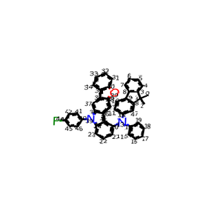 CC1(C)c2ccccc2-c2ccc(N(c3ccccc3)c3cccc4c3c3cc5oc6ccccc6c5cc3n4-c3ccc(F)cc3)cc21